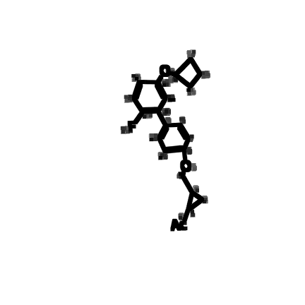 CC(=O)C1CC1COc1ccc(-c2cc(OC3CCC3)ccc2F)cc1